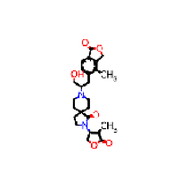 CC1=C(N2CCC3(CCN(C(CO)Cc4ccc5c(c4C)COC5=O)CC3)C2=O)COC1=O